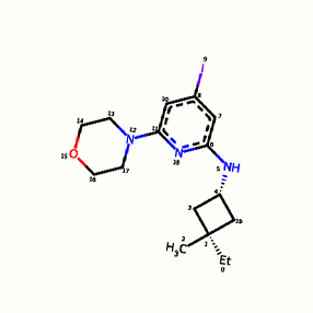 CC[C@]1(C)C[C@H](Nc2cc(I)cc(N3CCOCC3)n2)C1